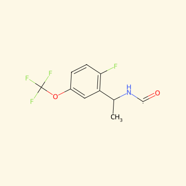 CC(N[C]=O)c1cc(OC(F)(F)F)ccc1F